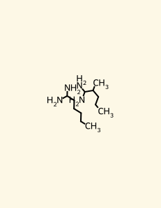 CCCC(C)C(N)N.CCCCCC(N)N